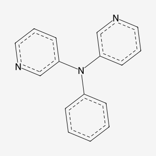 c1ccc(N(c2cccnc2)c2cccnc2)cc1